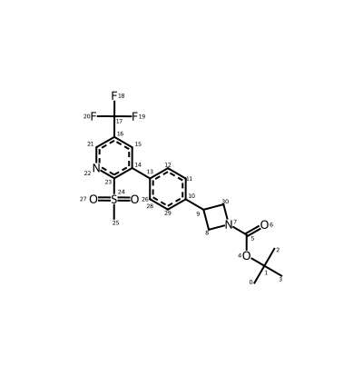 CC(C)(C)OC(=O)N1CC(c2ccc(-c3cc(C(F)(F)F)cnc3S(C)(=O)=O)cc2)C1